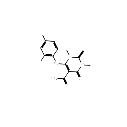 C=C1N(C)C(=O)C(C(N)=O)=C(Nc2ccc(Br)cc2F)N1C